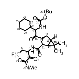 CNC(=O)C(=O)C(CC(F)(F)F)NC(=O)[C@@H]1C2[C@H](CN1C(=O)C(NC(=O)OC(C)(C)C)C1CCCCC1)C2(C)C